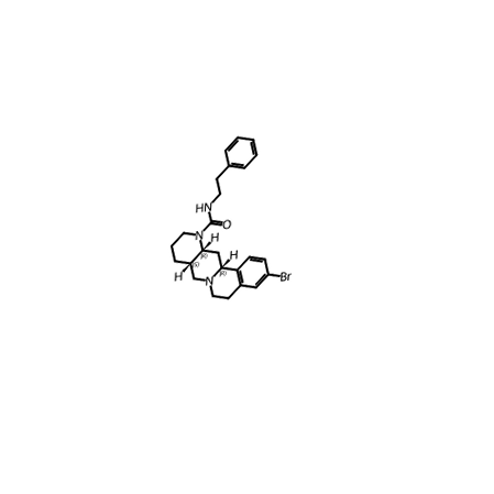 O=C(NCCc1ccccc1)N1CCC[C@H]2CN3CCc4cc(Br)ccc4[C@H]3C[C@H]21